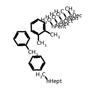 CCCCCC.CCCCCCC.CCCCCCCC.CCCCCCCCC.CCCCCCCCCC.CCCCCCCCCCC.Cc1ccccc1.Cc1ccccc1C.c1ccccc1